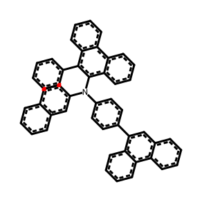 c1ccc(-c2c(N(c3ccc(-c4cc5ccccc5c5ccccc45)cc3)c3ccc4ccccc4c3)c3ccccc3c3ccccc23)cc1